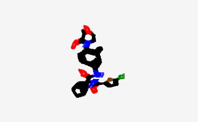 Cc1cc(NC(=O)C2(NC(=O)c3ccc(Cl)s3)CC3CCC2C3)ccc1N1CCOCC1=O